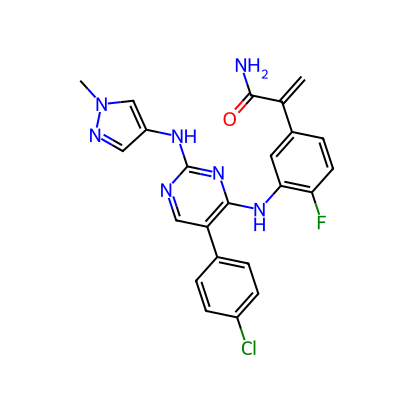 C=C(C(N)=O)c1ccc(F)c(Nc2nc(Nc3cnn(C)c3)ncc2-c2ccc(Cl)cc2)c1